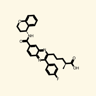 C[C@@H](CCCc1nc2cc(C(=O)N[C@@H]3CCOc4ccccc43)ccc2nc1-c1ccc(F)cc1)C(=O)O